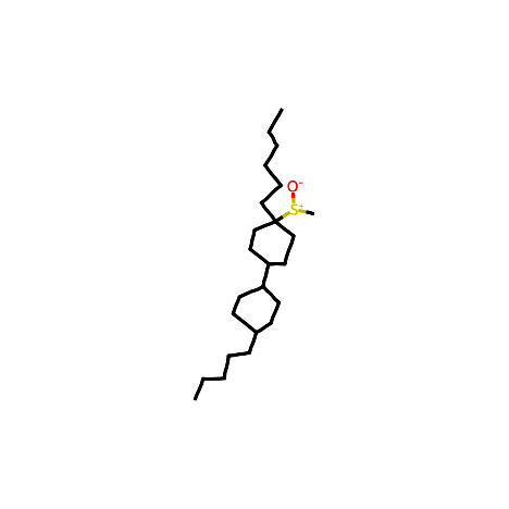 CCCCCCC1([S+](C)[O-])CCC(C2CCC(CCCCC)CC2)CC1